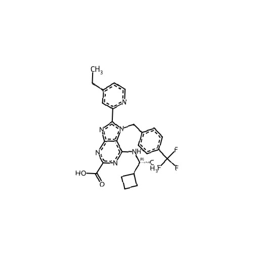 CCc1ccnc(-c2nc3nc(C(=O)O)nc(N[C@H](C)C4CCC4)c3n2Cc2ccc(C(F)(F)F)cc2)c1